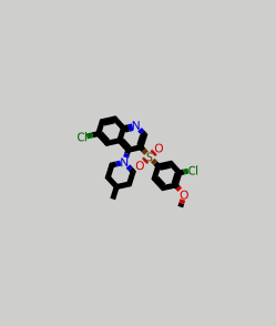 COc1ccc(S(=O)(=O)c2cnc3ccc(Cl)cc3c2N2CCC(C)CC2)cc1Cl